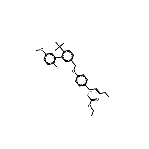 CC/C=C/[C@H](CC(=O)OCC)c1ccc(OCc2ccc(C(C)(C)C)c(-c3cc(OC)ccc3F)c2)cc1